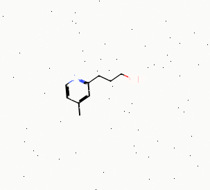 Cc1ccnc(CCCO)c1